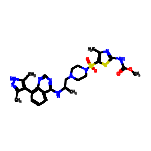 COC(=O)Nc1nc(C)c(S(=O)(=O)N2CCN(CC(C)Nc3ncnc4c(-c5c(C)n[nH]c5C)cccc34)CC2)s1